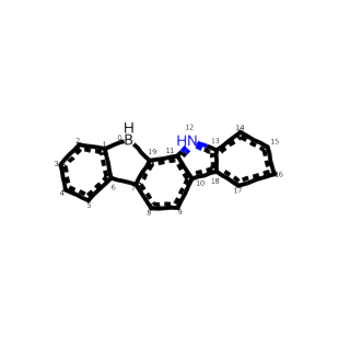 B1c2ccccc2-c2ccc3c([nH]c4ccccc43)c21